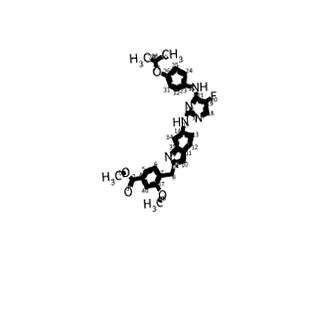 COC(=O)c1ccc(Cn2cc3ccc(Nc4ncc(F)c(Nc5ccc(OC(C)C)cc5)n4)cc3n2)c(OC)c1